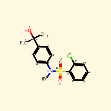 CC(C)N(c1ccc([C@@](C)(O)C(F)(F)F)cc1)S(=O)(=O)c1ccccc1Cl